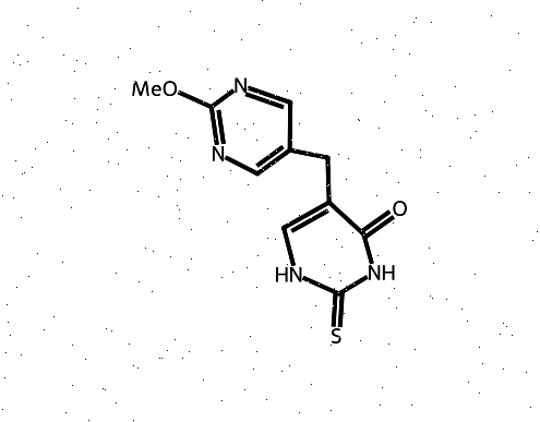 COc1ncc(Cc2c[nH]c(=S)[nH]c2=O)cn1